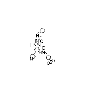 CS(=O)(=O)c1ccc(CNC(=O)c2cc(-c3ccncc3)cc3[nH]c(NC(=O)c4cc5ccccc5cn4)nc23)cc1